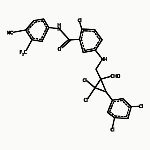 N#Cc1ccc(NC(=O)c2cc(NCC3(C=O)C(c4cc(Cl)cc(Cl)c4)C3(Cl)Cl)ccc2Cl)cc1C(F)(F)F